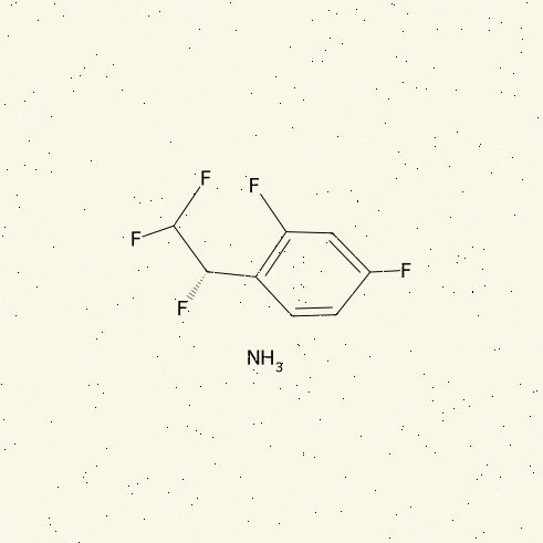 Fc1ccc([C@H](F)C(F)F)c(F)c1.N